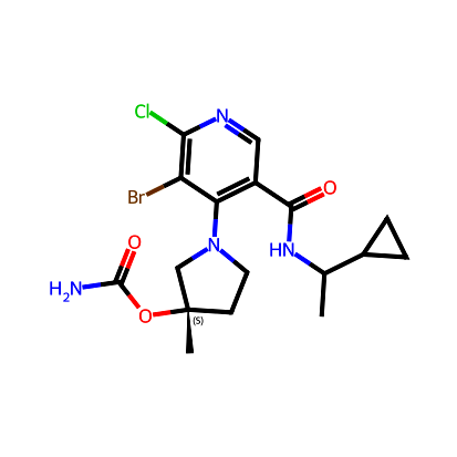 CC(NC(=O)c1cnc(Cl)c(Br)c1N1CC[C@](C)(OC(N)=O)C1)C1CC1